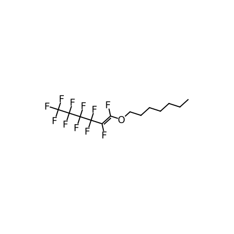 CCCCCCCOC(F)=C(F)C(F)(F)C(F)(F)C(F)(F)C(F)(F)F